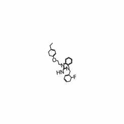 CCC1=CC=C(OCCn2c(=N)n(CC3=CC=CCC3F)c3ccccc32)CC1